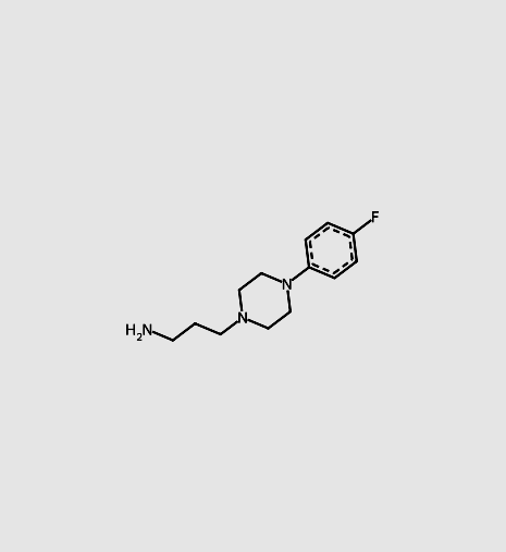 NCCCN1CCN(c2ccc(F)cc2)CC1